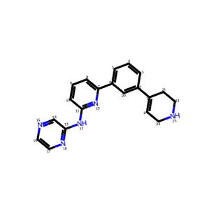 C1=C(c2cccc(-c3cccc(Nc4cnccn4)n3)c2)CCNC1